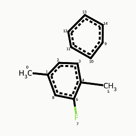 Cc1ccc(C)c(F)c1.c1ccccc1